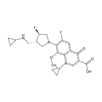 COc1c(N2C[C@H](CNC3CC3)[C@@H](F)C2)c(F)cc2c(=O)c(C(=O)O)cn(C3CC3)c12